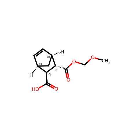 COCOC(=O)[C@@H]1[C@@H](C(=O)O)[C@H]2C=C[C@@H]1C2